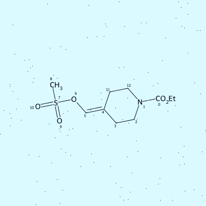 CCOC(=O)N1CCC(=COS(C)(=O)=O)CC1